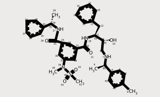 Cc1ccc([C@@H](C)NC[C@@H](O)[C@H](Cc2ccccc2)NC(=O)c2cc(C(=O)N[C@@H](C)c3ccccc3)cc(N(C)S(C)(=O)=O)c2)cc1